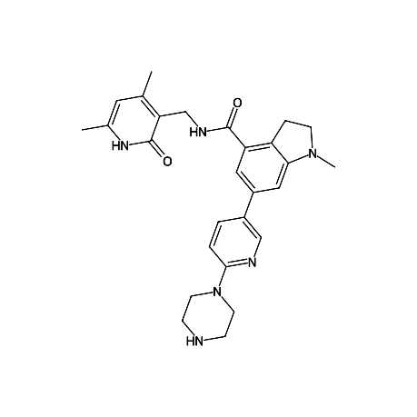 Cc1cc(C)c(CNC(=O)c2cc(-c3ccc(N4CCNCC4)nc3)cc3c2CCN3C)c(=O)[nH]1